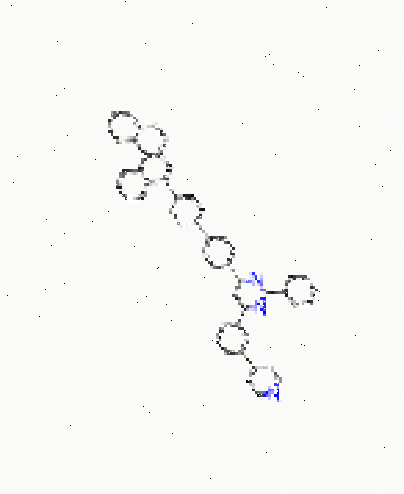 c1ccc(-c2nc(-c3ccc(-c4ccc(-c5cc6ccc7ccccc7c6c6ccccc56)cc4)cc3)cc(-c3cccc(-c4ccncc4)c3)n2)cc1